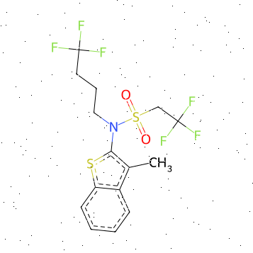 Cc1c(N(CCCC(F)(F)F)S(=O)(=O)CC(F)(F)F)sc2ccccc12